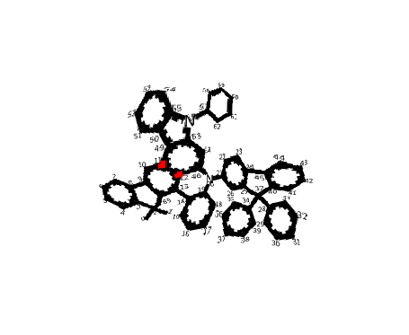 CC1(C)c2ccccc2-c2cccc(-c3ccccc3N(c3ccc4c(c3)C(c3ccccc3)(c3ccccc3)c3ccccc3-4)c3ccc4c5ccccc5n(C5C=CC=CC5)c4c3)c21